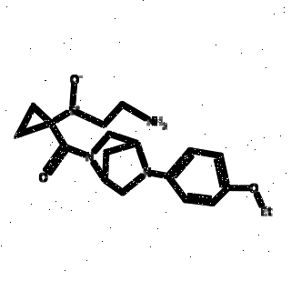 CCOc1ccc(N2CC3CC2CN3C(=O)C2([S+]([O-])CCN)CC2)cc1